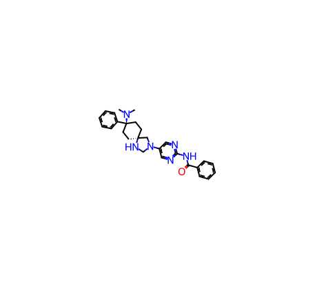 CN(C)[C@]1(c2ccccc2)CC[C@]2(CC1)CN(c1cnc(NC(=O)c3ccccc3)nc1)CN2